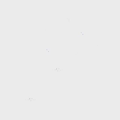 COc1ccc(CN2Cc3cc(Cl)nc(Cl)c3C2=O)c(OC)c1